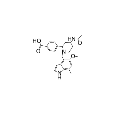 COc1cc(C)c2[nH]ccc2c1CN1CCC(NC(C)=O)CC1c1ccc(C(=O)O)cc1